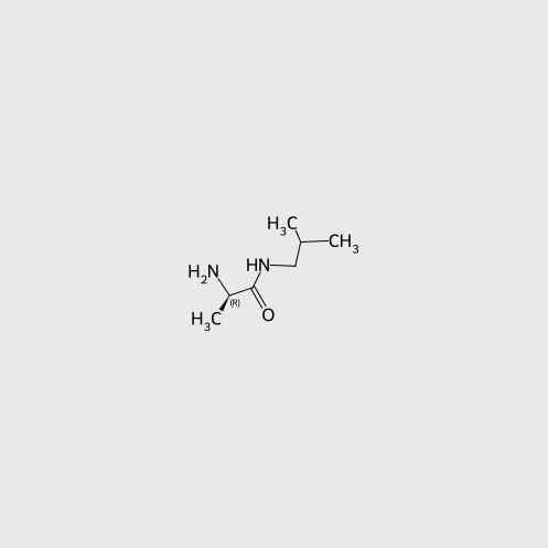 CC(C)CNC(=O)[C@@H](C)N